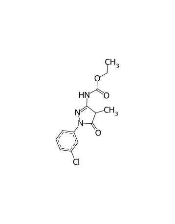 CCOC(=O)NC1=NN(c2cccc(Cl)c2)C(=O)C1C